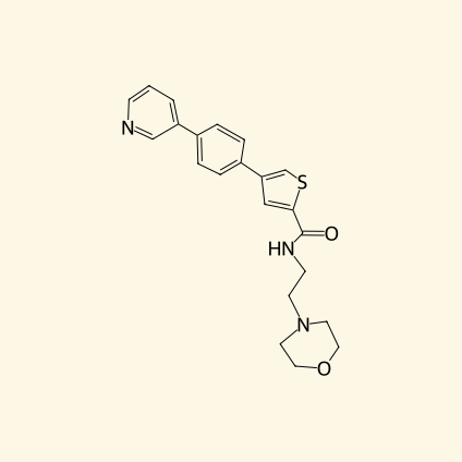 O=C(NCCN1CCOCC1)c1cc(-c2ccc(-c3cccnc3)cc2)cs1